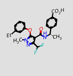 CCc1cccc(Oc2c(C(=O)N[C@@H](C)c3ccc(C(=O)O)cc3)c(C(F)F)nn2C)c1